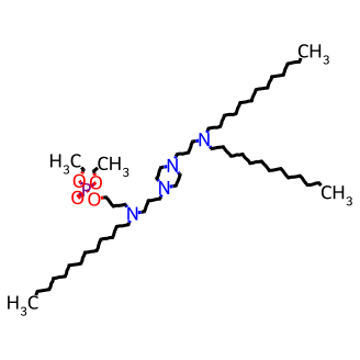 CCCCCCCCCCCCCN(CCCCCCCCCCCCC)CCCN1CCN(CCCN(CCCCCCCCCCCCC)CCCOP(=O)(OCC)OCC)CC1